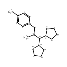 CN(Cc1ccc([N+](=O)[O-])cc1)C(C1CCCO1)C1CCCO1